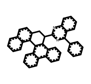 c1ccc(-c2nc(C3Cc4ccc5ccccc5c4-c4c3c3ccccc3c3ccccc43)nc3ccccc23)cc1